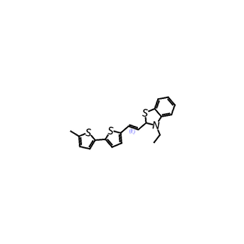 CCN1c2ccccc2SC1/C=C/c1ccc(-c2ccc(C)s2)s1